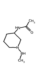 CBN1CCCC(NC(C)=O)C1